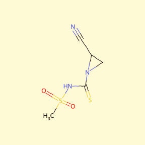 CS(=O)(=O)NC(=S)N1CC1C#N